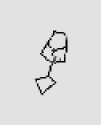 CC(C)(C)N1C2CCC1CN(C1CCC1)C2